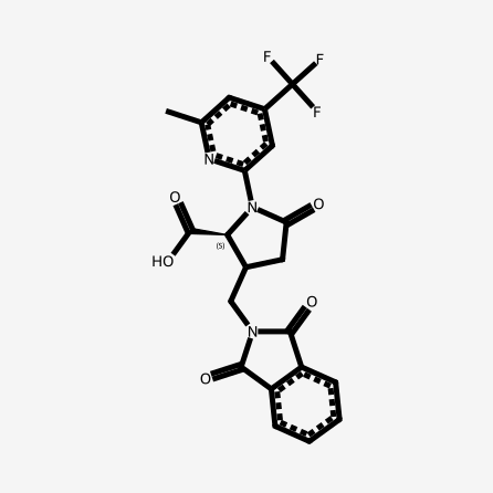 Cc1cc(C(F)(F)F)cc(N2C(=O)CC(CN3C(=O)c4ccccc4C3=O)[C@H]2C(=O)O)n1